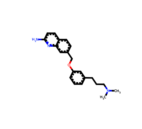 CN(C)CCCc1cccc(OCc2ccc3ccc(N)nc3c2)c1